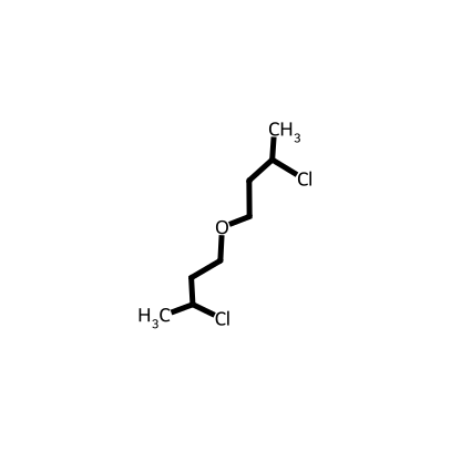 CC(Cl)CCOCCC(C)Cl